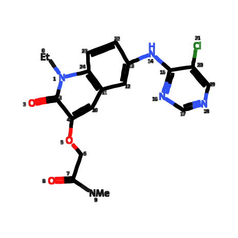 CCn1c(=O)c(OCC(=O)NC)cc2cc(Nc3ncncc3Cl)ccc21